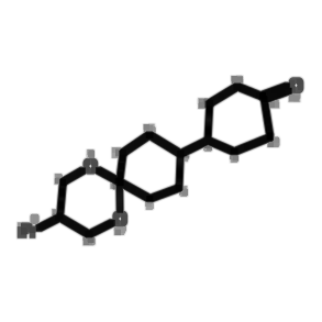 CC(C)C1COC2(CCC(C3CCC(=O)CC3)CC2)OC1